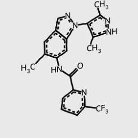 Cc1cc2cnn(-c3c(C)n[nH]c3C)c2cc1NC(=O)c1cccc(C(F)(F)F)n1